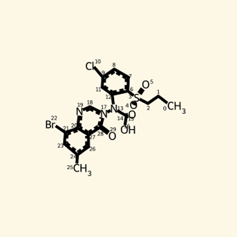 CCCS(=O)(=O)c1ccc(Cl)cc1N(C(=O)O)n1cnc2c(Br)cc(C)cc2c1=O